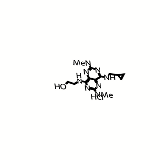 CNc1nc(NCC2CC2)c2nc(NC)nc(NCCO)c2n1.Cl